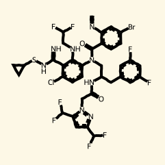 C=Nc1cc(Br)ccc1C(=O)N(CC(Cc1cc(F)cc(F)c1)NC(=O)Cn1nc(C(F)F)cc1C(F)F)c1ccc(Cl)c(C(=N)NSC2CC2)c1NCC(F)F